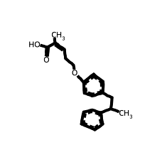 CC(=CCCOc1ccc(CC(C)c2ccccc2)cc1)C(=O)O